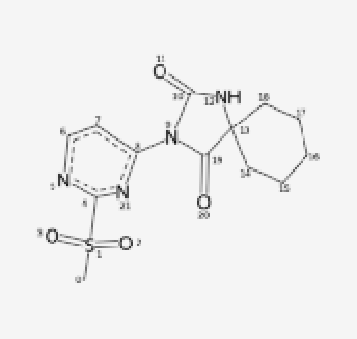 CS(=O)(=O)c1nccc(N2C(=O)NC3(CCCCC3)C2=O)n1